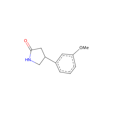 COc1cccc(C2CNC(=O)C2)c1